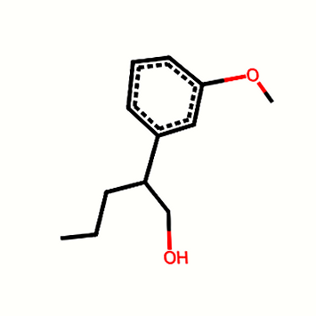 CCCC(CO)c1cccc(OC)c1